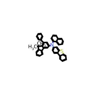 CC1(C)c2ccccc2-c2cc(N(c3ccc4c(c3)sc3ccccc34)c3cccc4ccccc34)cc(-c3ccccc3)c21